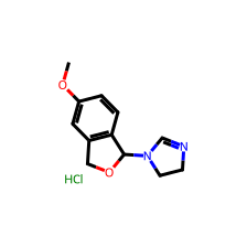 COc1ccc2c(c1)COC2N1C=NCC1.Cl